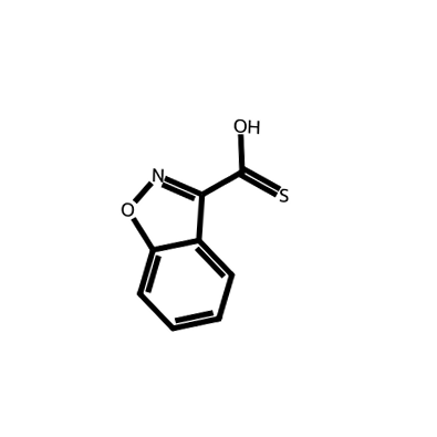 OC(=S)c1noc2ccccc12